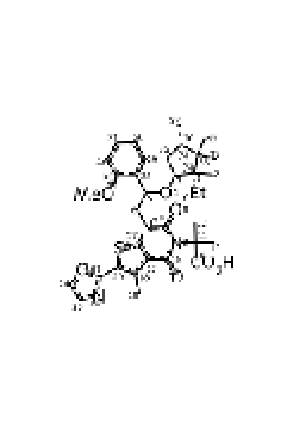 CC[C@]1(C)C(OC(Cn2c(=O)n(C(C)(C)C(=O)O)c(=O)c3c(C)c(-c4ncco4)sc32)c2ccccc2OC)C[C@H](C)C1(C)C